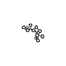 c1ccc(-c2c3c(cc4c2c2cccc(-c5ccccc5)c2n4-c2ccc(N(c4ccccc4)c4cccc5c4oc4ccccc45)cc2)oc2ccccc23)cc1